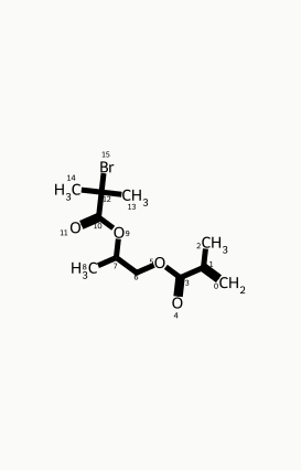 C=C(C)C(=O)OCC(C)OC(=O)C(C)(C)Br